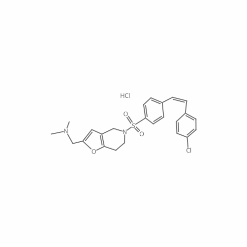 CN(C)Cc1cc2c(o1)CCN(S(=O)(=O)c1ccc(/C=C\c3ccc(Cl)cc3)cc1)C2.Cl